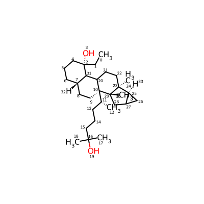 CC[C@]1(O)CCC[C@H]2CC[C@]3([C@H](C)CCCC(C)(C)O)C(CC[C@@]4(C)[C@H]5CC5C[C@@]43C)C21